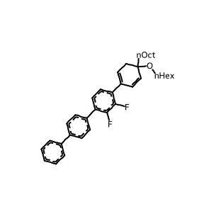 CCCCCCCCC1(OCCCCCC)C=CC(c2ccc(-c3ccc(-c4ccccc4)cc3)c(F)c2F)=CC1